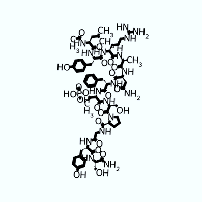 CC(=O)N[C@@H](CC(C)C)C(=O)N[C@@H](Cc1ccc(O)cc1)C(=O)N[C@@H](CCCNC(=N)N)C(=O)N[C@@H](C)C(=O)N[C@@H](CC(N)=O)C(=O)N[C@@H](Cc1ccccc1)C(=O)N[C@H](C(=O)N[C@@H](CO)C(=O)N1CCC[C@H]1C(=O)NCC(=O)N[C@@H](Cc1ccc(O)cc1)C(=O)N[C@@H](CO)C(N)=O)C(C)OP(=O)(O)O